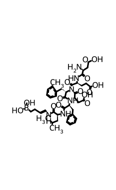 Cc1ccccc1C[C@@H](C(=O)N[C@@H](Cc1ccccc1)C(=O)N[C@@H](CC(C)C)C(=O)NC=CCCB(O)O)N(C(=O)CCC(=O)O)C(=O)[C@H](CCC(=O)O)NC(=O)[C@@H](N)CC(=O)O